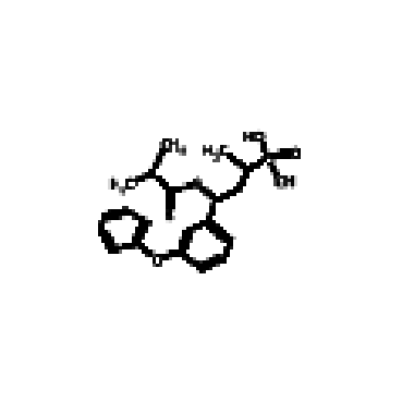 CC(CC(SC(=S)N(C)C)c1cccc(Oc2ccccc2)c1)P(=O)(O)O